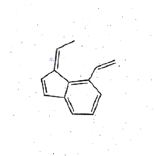 C=Cc1cccc2c1/C(=C\C)C=C2